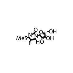 CSc1nc(=O)n(C2O[C@H](CO)[C@@H](O)[C@H]2O)cc1F